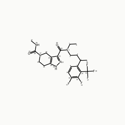 CCN(CCC(C)c1ccc(F)c(F)c1C(F)(F)F)C(=O)c1n[nH]c2c1CN(C(=O)NC)CC2